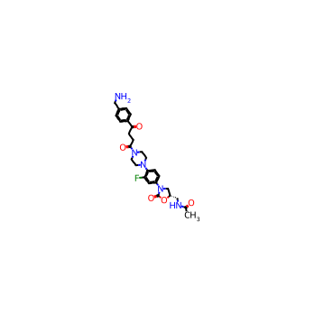 CC(=O)NC[C@H]1CN(c2ccc(N3CCN(C(=O)CCC(=O)c4ccc(CN)cc4)CC3)c(F)c2)C(=O)O1